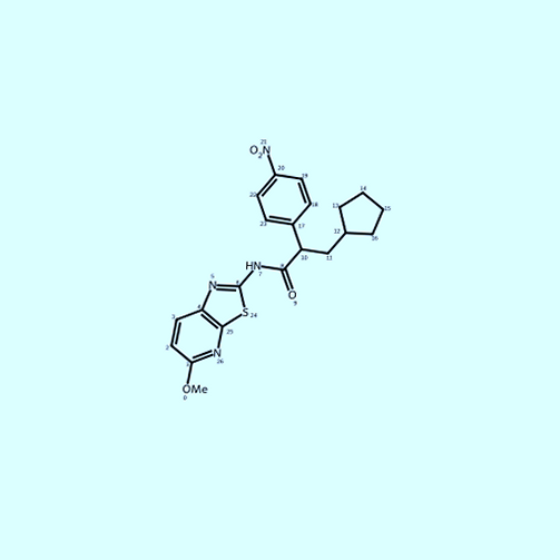 COc1ccc2nc(NC(=O)C(CC3CCCC3)c3ccc([N+](=O)[O-])cc3)sc2n1